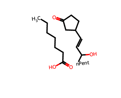 CCCCCC(O)C=CC1CCC(=O)C1.CCCCCCC(=O)O